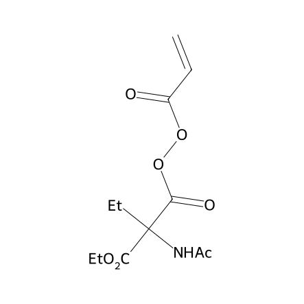 C=CC(=O)OOC(=O)C(CC)(NC(C)=O)C(=O)OCC